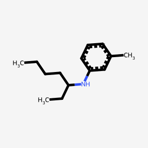 CCCCC(CC)Nc1cc[c]c(C)c1